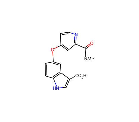 CNC(=O)c1cc(Oc2ccc3[nH]cc(C(=O)O)c3c2)ccn1